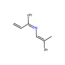 C=C/C(CCC)=N\C=C(/C)C(C)C